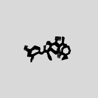 O=C(NCc1ccc(F)cc1F)c1cn2c(c(O)c1=O)C(=O)N1CCCC3(CC3)[C@@H]2C1